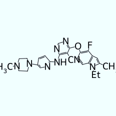 CCn1c(C)cc2c(F)c(Oc3ncnc(Nc4ccc(N5CCN(C)CC5)cn4)c3C#N)ccc21